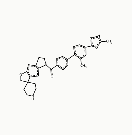 Cc1nnc(-c2ccc(-c3ccc(C(=O)N4CCc5cc6c(cc54)C4(CCNCC4)CO6)cc3)c(C)c2)o1